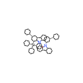 c1ccc(-c2cccc(-n3c4ccccc4c4cccc(-n5c6ccccc6c6cc(-c7ccccc7)cc([Si](c7ccccc7)(c7ccccc7)c7ccccc7)c65)c43)c2)cc1